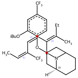 C\C=C(/C=C\C(SN1C2CCC[C@H]1CC(Oc1ccc(C(F)(F)F)cc1OCC(C)C)C2)=C(\C)CC)C(F)(F)F